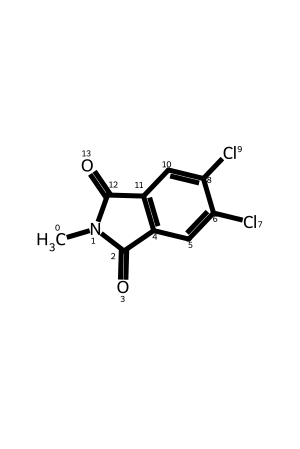 CN1C(=O)c2cc(Cl)c(Cl)cc2C1=O